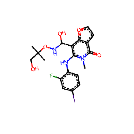 Cn1c(Nc2ccc(I)cc2F)c(C(O)NOC(C)(C)CO)c2occc2c1=O